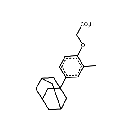 Cc1cc(C23CC4CC(CC(C4)C2)C3)ccc1OCC(=O)O